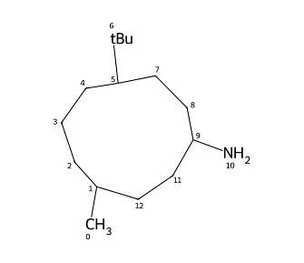 CC1CCCC(C(C)(C)C)CCC(N)CC1